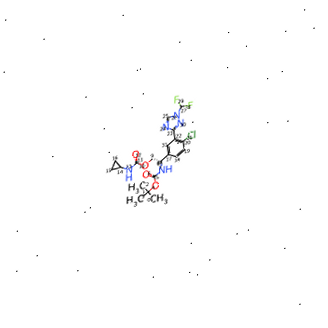 CC(C)(C)OC(=O)N[C@H](COC(=O)NC1CC1)c1ccc(Cl)c(-c2ncn(C(F)F)n2)c1